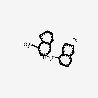 O=C(O)c1cccc2ccccc12.O=C(O)c1cccc2ccccc12.[Fe]